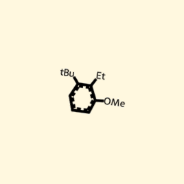 CCc1c(OC)cccc1C(C)(C)C